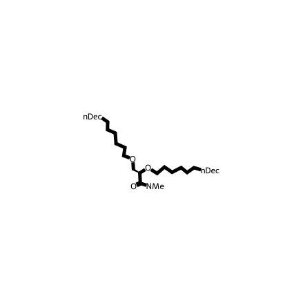 CCCCCCCCCCCCCCCCOC[C@@H](OCCCCCCCCCCCCCCCC)C(=O)NC